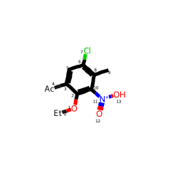 CCOc1c(C(C)=O)cc(Cl)c(C)c1[N+](=O)O